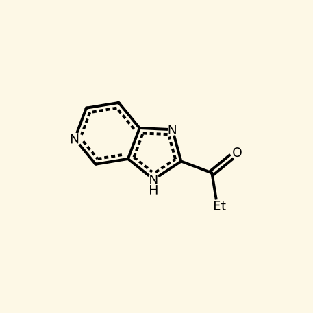 CCC(=O)c1nc2ccncc2[nH]1